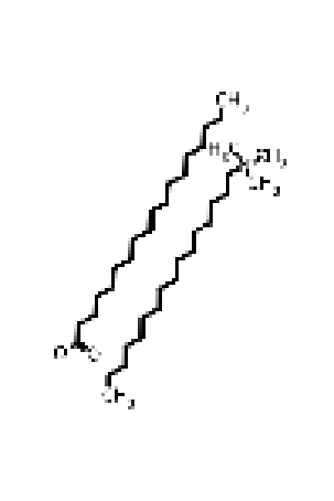 CCCCCCCCC=CCCCCCCCC(=O)[O-].CCCCCCCCCCCCCCCC[N+](C)(C)C